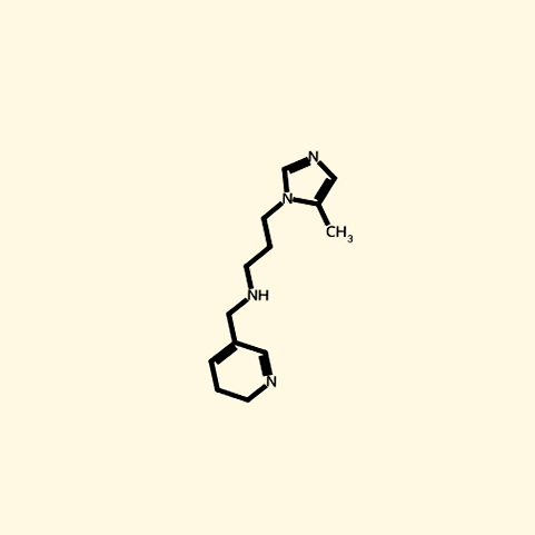 Cc1cncn1CCCNCC1=CCCN=C1